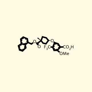 COc1cc(C(F)(F)F)c(O[C@H]2CC[C@@](C)(C(=O)OCc3cccc4ccccc34)CC2)cc1C(=O)O